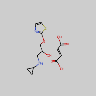 O=C(O)C=CC(=O)O.OC(CNC1CC1)COc1nccs1